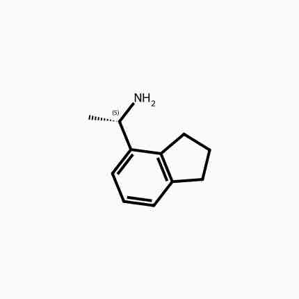 C[C@H](N)c1cccc2c1CCC2